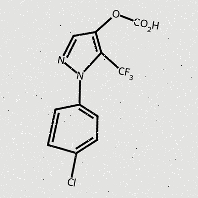 O=C(O)Oc1cnn(-c2ccc(Cl)cc2)c1C(F)(F)F